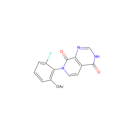 CC(=O)Oc1cccc(F)c1-n1ccc2c(=O)[nH]cnc2c1=O